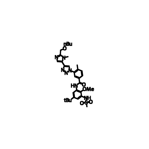 CCCCOCc1ncc(-c2cn(-c3cc(C(=O)Nc4cc(C(C)(C)C)cc(NS(C)(=O)=O)c4OC)ccc3C)nn2)n1C